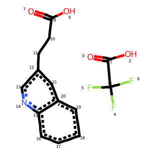 O=C(O)C(F)(F)F.O=C(O)CCc1cnc2ccccc2c1